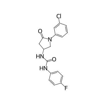 O=C(Nc1ccc(F)cc1)NC1CC(=O)N(c2cccc(Cl)c2)C1